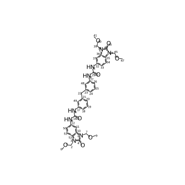 COCn1c(=O)n(COC)c2cc(NC(=O)Nc3cccc(Cc4cccc(NC(=O)Nc5ccc6c(c5)n(COC)c(=O)n6COC)c4)c3)ccc21